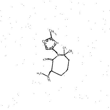 CNC1CCCC(C)(C)N(c2coc(C)n2)C1=O